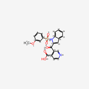 COc1cccc(S(=O)(=O)n2c(C(=O)c3cnccc3C(=O)O)cc3ccccc32)c1